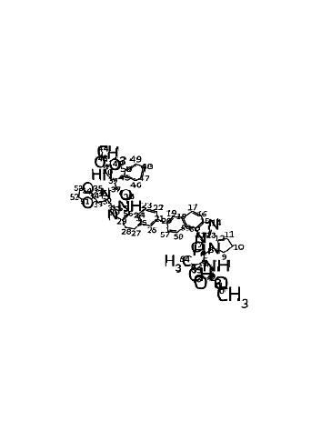 COC(=O)N[C@H](C(=O)N1CCC[C@H]1c1nc2ccc3cc(-c4ccc5c(c4)CCc4nc(C6CC7(CN6C(=O)[C@H](NC(=O)OC)c6ccccc6)OCCO7)[nH]c4-5)ccc3c2[nH]1)C(C)C